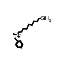 C[N+](C)(CCCCCCCCC[SiH3])Cc1ccccc1